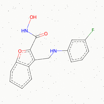 O=C(NO)c1oc2ccccc2c1CNc1cccc(F)c1